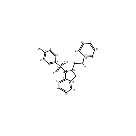 Cc1ccc(S(=O)(=O)N2c3ccccc3CC2CSc2ccccc2)cc1